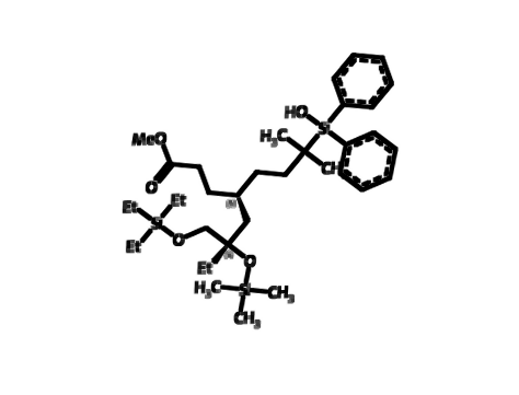 CC[C@@](CO[Si](CC)(CC)CC)(C[C@@H](CCC(=O)OC)CCC(C)(C)[Si](O)(c1ccccc1)c1ccccc1)O[Si](C)(C)C